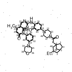 CCC1CC2CCC(CC(=O)N3CCN(c4ccc(Nc5ncc6c(C)cc(=O)n(-c7cccc(N8CCOCC8)c7)c6n5)c(OC)c4)CC3)(C1)C2